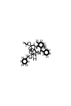 CCOC(=O)CN1C(=O)C(NC(=O)OCc2ccccc2)N=C(c2ccccc2F)c2cccc(C)c21